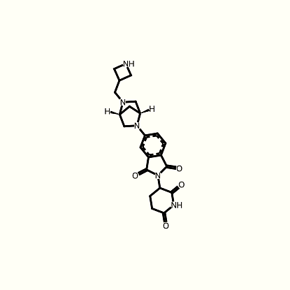 O=C1CCC(N2C(=O)c3ccc(N4C[C@H]5C[C@@H]4CN5CC4CNC4)cc3C2=O)C(=O)N1